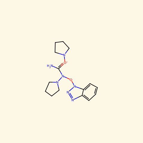 NC(=[O+]N1CCCC1)N(On1nnc2ccccc21)N1CCCC1